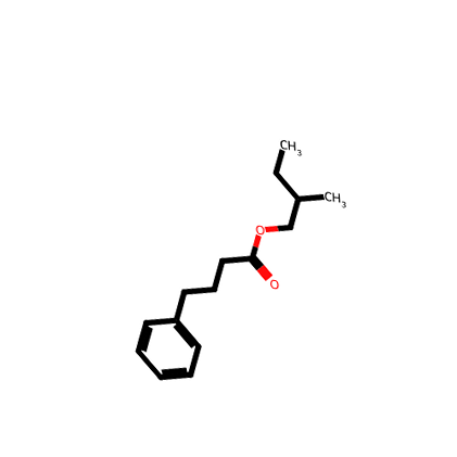 CCC(C)COC(=O)CCCc1ccccc1